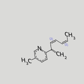 C=C(/C=C\C=C/C)c1ccc(C)cn1